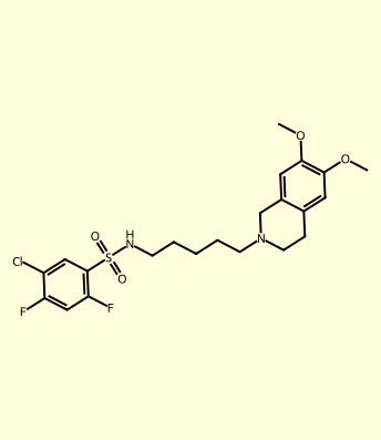 COc1cc2c(cc1OC)CN(CCCCCNS(=O)(=O)c1cc(Cl)c(F)cc1F)CC2